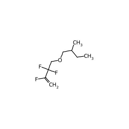 C=C(F)C(F)(F)COCC(C)CC